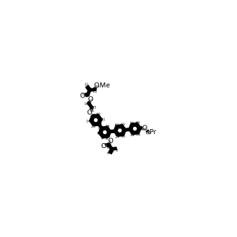 C=C(C)C(=O)Oc1ccc(-c2ccc(OCCOC(=O)C(=C)COC)cc2)cc1-c1ccc(-c2ccc(OCCC)cc2)cc1